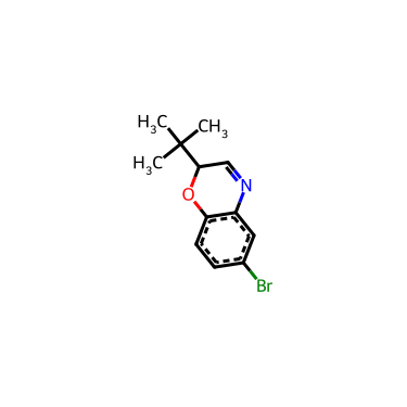 CC(C)(C)C1C=Nc2cc(Br)ccc2O1